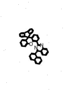 c1ccc2c(c1)Oc1c(-c3nc(-c4cccc5ccccc45)c4ccccc4n3)cccc1C21c2ccccc2-c2ccccc21